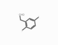 O=CCc1cc(I)ccc1I